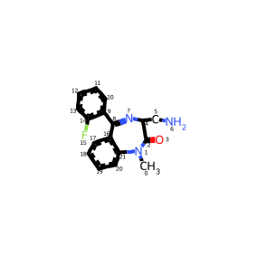 CN1C(=O)C(CN)N=C(c2ccccc2F)c2ccccc21